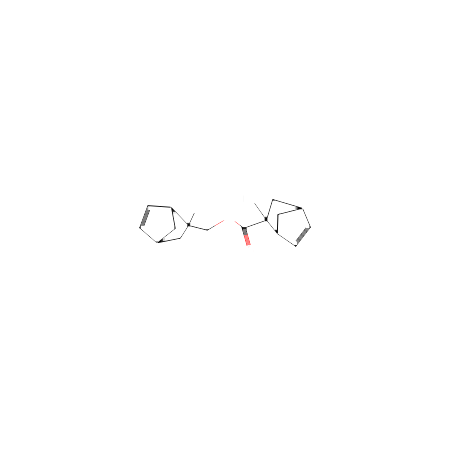 CCC1(C(=O)OCC2(C)CC3C=CC2C3)CC2C=CC1C2